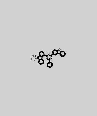 CC1(C)c2ccccc2-c2c(-c3nc(-c4ccccc4)nc(-c4ccc5oc6ccccc6c5c4)n3)cccc21